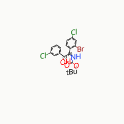 CC(C)(C)OC(=O)N[C@H](c1ccc(Cl)cc1Br)[C@H](O)c1cccc(Cl)c1